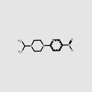 CC(C)N1CCN(c2ccc([N+](=O)[O-])cn2)CC1